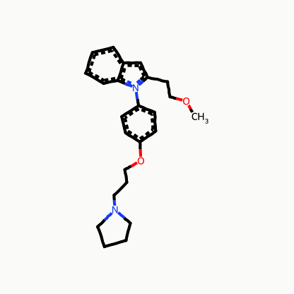 COCCc1cc2ccccc2n1-c1ccc(OCCCN2CCCC2)cc1